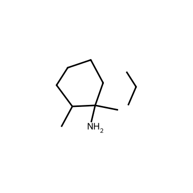 CC1CCCCC1(C)N.CCC